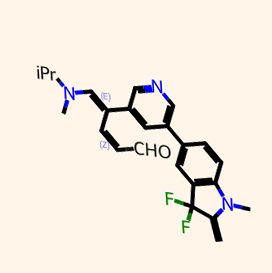 C=C1N(C)c2ccc(-c3cncc(C(/C=C\C=O)=C/N(C)C(C)C)c3)cc2C1(F)F